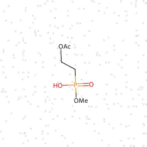 COP(=O)(O)CCOC(C)=O